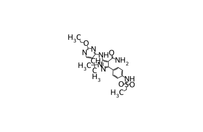 CCOc1nccc(Nc2c(C(N)=O)c(-c3ccc(NS(=O)(=O)CC)cc3)nn2C(C)(C)C)n1